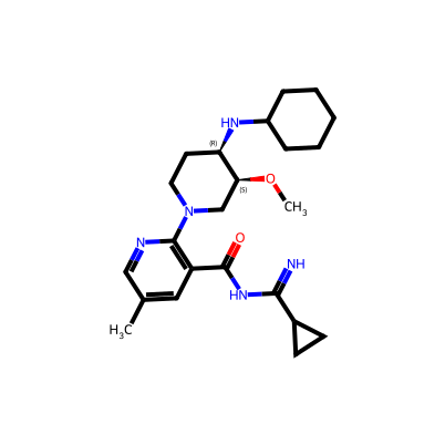 CO[C@H]1CN(c2ncc(C)cc2C(=O)NC(=N)C2CC2)CC[C@H]1NC1CCCCC1